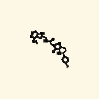 Nc1nncc2[nH]c(CNC(=O)Cn3cnc4c(c3=O)N[C@H](c3ccc(F)cc3)CC4)cc12